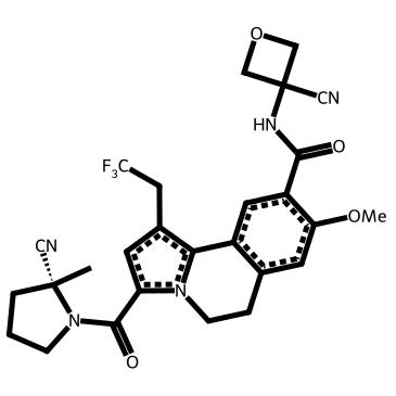 COc1cc2c(cc1C(=O)NC1(C#N)COC1)-c1c(CC(F)(F)F)cc(C(=O)N3CCC[C@]3(C)C#N)n1CC2